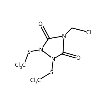 O=c1n(CCl)c(=O)n(SC(Cl)(Cl)Cl)n1SC(Cl)(Cl)Cl